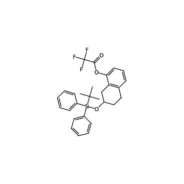 CC(C)(C)[Si](OC1CCc2cccc(OC(=O)C(F)(F)F)c2C1)(c1ccccc1)c1ccccc1